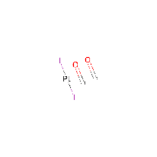 [C]=O.[C]=O.[I][Pt][I]